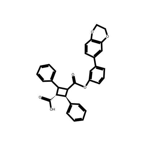 O=C(Oc1cccc(-c2ccc3c(c2)OCCO3)c1)C1C(c2ccccc2)[C@@H](C(=O)O)[C@@H]1c1ccccc1